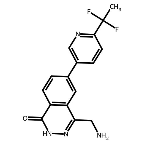 CC(F)(F)c1ccc(-c2ccc3c(=O)[nH]nc(CN)c3c2)cn1